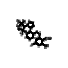 [2H]C([2H])([2H])C(n1nccc1-c1ncccc1COc1cc(F)cc(O)c1C=O)C([2H])([2H])[2H]